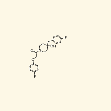 O=C(COc1ccc(F)cc1)N1CCC(O)(Cc2ccc(F)cc2)CC1